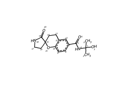 CC(C)(O)NC(=O)c1ccc2c(c1)CCC1(CCNC1=O)O2